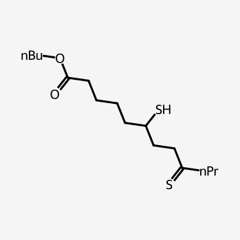 CCCCOC(=O)CCCCC(S)CCC(=S)CCC